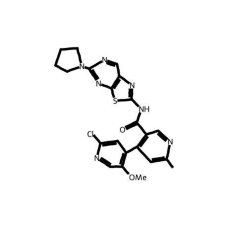 COc1cnc(Cl)cc1-c1cc(C)ncc1C(=O)Nc1nc2cnc(N3CCCC3)nc2s1